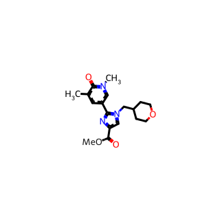 COC(=O)c1cn(CC2CCOCC2)c(-c2cc(C)c(=O)n(C)c2)n1